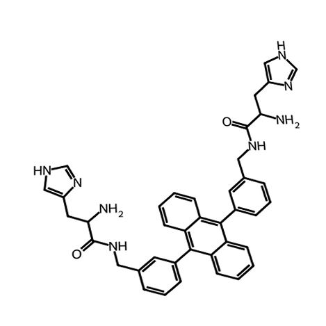 NC(Cc1c[nH]cn1)C(=O)NCc1cccc(-c2c3ccccc3c(-c3cccc(CNC(=O)C(N)Cc4c[nH]cn4)c3)c3ccccc23)c1